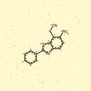 N#CCc1c([N+](=O)[O-])ccc2nc(-c3ccccc3)sc12